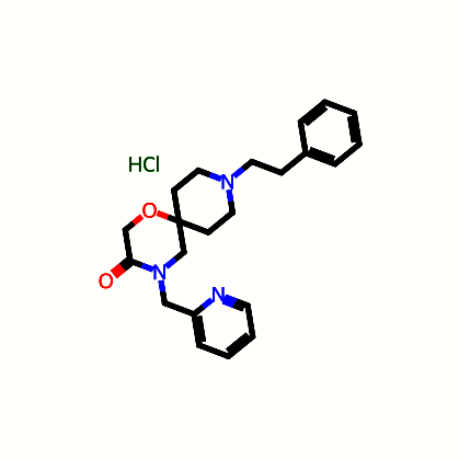 Cl.O=C1COC2(CCN(CCc3ccccc3)CC2)CN1Cc1ccccn1